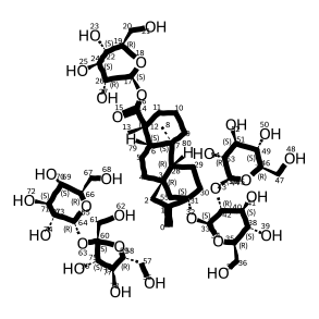 C=C1C[C@@]23CC[C@H]4[C@@](C)(CCC[C@@]4(C)C(=O)O[C@@H]4O[C@H](CO)[C@@H](O)[C@H](O)[C@H]4O)[C@@H]2CC[C@]1(O[C@@H]1O[C@H](CO)[C@@H](O)[C@H](O)[C@H]1O[C@@H]1O[C@H](CO)[C@@H](O)[C@H](O)[C@H]1O)C3.OC[C@H]1O[C@@](CO)(O[C@H]2O[C@H](CO)[C@@H](O)[C@H](O)[C@H]2O)[C@@H](O)[C@@H]1O